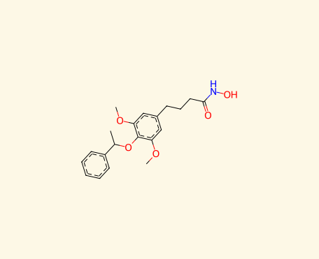 COc1cc(CCCC(=O)NO)cc(OC)c1OC(C)c1ccccc1